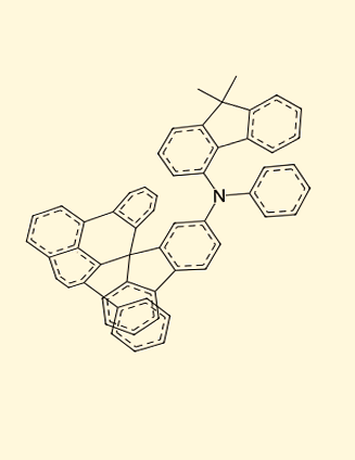 CC1(C)c2ccccc2-c2c(N(c3ccccc3)c3ccc4c(c3)C3(c5ccccc5-4)c4ccccc4-c4cccc5ccc(-c6ccccc6)c3c45)cccc21